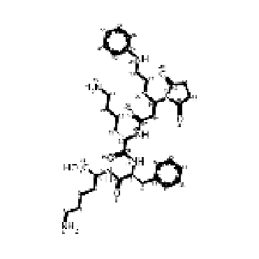 NCCCC[C@H](NC(=O)[C@H](Cc1ccccc1)NC(=O)[C@H](CCCCN)NC(=O)CC(SCCNc1ccccc1)N1C(=O)CCC1=O)C(=O)O